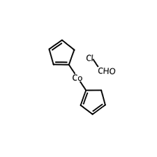 C1=CC[C]([Co][C]2=CC=CC2)=C1.O=CCl